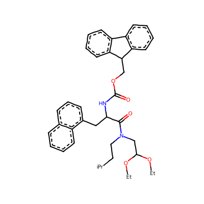 CCOC(CN(CCC(C)C)C(=O)C(Cc1cccc2ccccc12)NC(=O)OCC1c2ccccc2-c2ccccc21)OCC